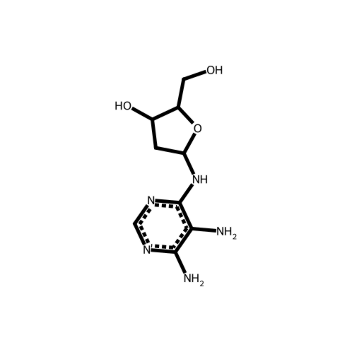 Nc1ncnc(NC2CC(O)C(CO)O2)c1N